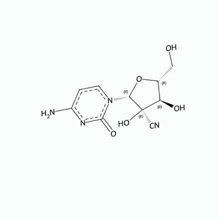 N#C[C@@]1(O)[C@H](O)[C@@H](CO)O[C@H]1n1ccc(N)nc1=O